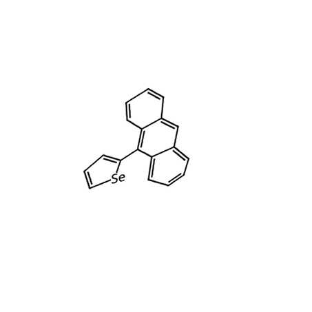 c1c[se]c(-c2c3ccccc3cc3ccccc23)c1